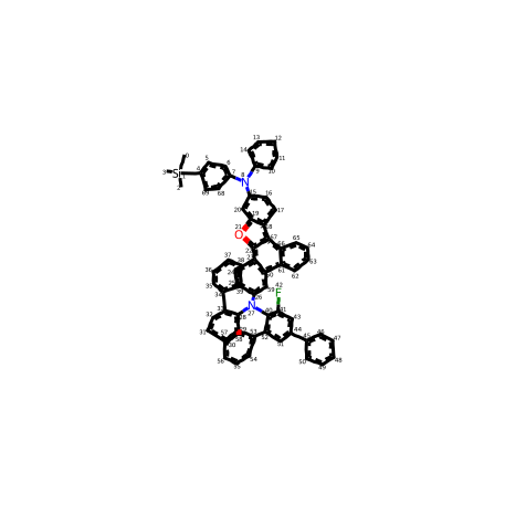 C[Si](C)(C)c1ccc(N(c2ccccc2)c2ccc3c(c2)oc2c4ccc(N(c5ccccc5-c5ccccc5)c5c(F)cc(-c6ccccc6)cc5-c5ccccc5)cc4c4ccccc4c32)cc1